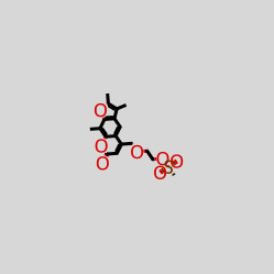 Cc1oc2c(C)c3oc(=O)cc(COCCOS(C)(=O)=O)c3cc2c1C